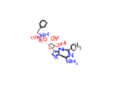 Cc1nc(N)c2ncn([C@@H]3O[C@H](COP(=O)(O)NCc4ccccc4)[C@H](O)C3O)c2n1